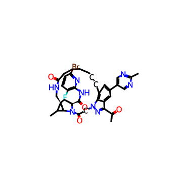 CC(=O)c1nn2c3c(cc(-c4cnc(C)nc4)cc13)CCCCCCC(=O)NC[C@@]13C[C@@H](C(=O)Nc4nc(Br)ccc4F)N(C(=O)C2)C1C3C